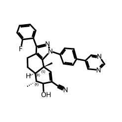 C[C@H]1C(O)C(C#N)=C[C@@]2(C)c3c(c(-c4ccccc4F)nn3-c3ccc(-c4cncnc4)cc3)CC[C@H]12